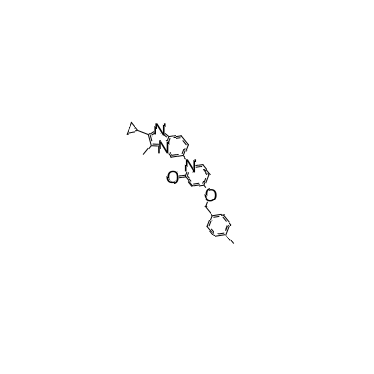 Cc1ccc(COc2ccn(-c3ccc4nc(C5CC5)c(C)n4c3)c(=O)c2)cc1